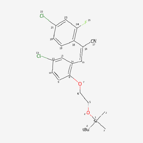 CC(C)(C)[Si](C)(C)OCCOc1ccc(Cl)cc1C=C(C#N)c1ccc(Cl)cc1F